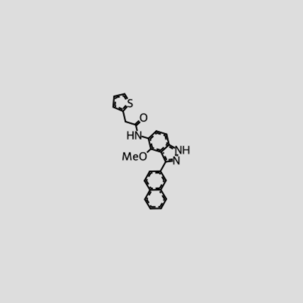 COc1c(NC(=O)Cc2cccs2)ccc2[nH]nc(-c3ccc4ccccc4c3)c12